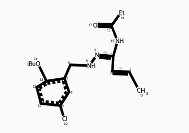 C/C=C/C(=N\NCc1cc(Cl)ccc1OCC(C)C)NC(=O)CC